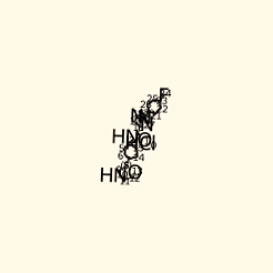 Cl.O=C(Nc1ccc([C@H]2CNCCO2)cc1)c1cnn(-c2ccc(F)cc2)n1